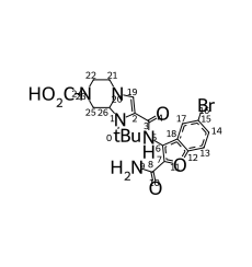 CC(C)(C)N1C(C(=O)Nc2c(C(N)=O)oc3ccc(Br)cc23)=CN2CCN(C(=O)O)CC21